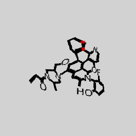 C=CC(=O)N1CC2COc3c(-c4ccccc4)c(-c4c(C)ccnc4C(C)C)c4c(=O)n(-c5c(O)cccc5F)c(C)cc4c3N2CC1C